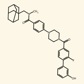 CN(CC12CC3CC(CC(C3)C1)C2)C(=O)c1ccc(N2CCN(C(=O)c3ccc(-c4cccc(O)c4)c(F)c3)CC2)cc1